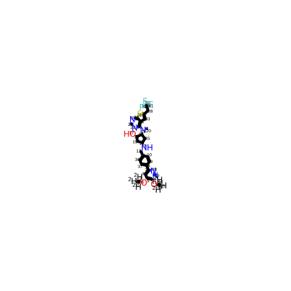 [2H]C([2H])([2H])Oc1cc(-c2ccc(CN[C@H]3C[C@@H](O)[C@@H](N(C)c4ncnc5sc(CC(F)(F)F)cc45)C3)cc2)nnc1OC([2H])([2H])[2H]